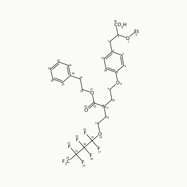 CCOC(Cc1ccc(OCCN(CCOC(F)(F)C(F)(F)C(F)(F)C(F)(F)F)C(=O)OCCc2ccccc2)cc1)C(=O)O